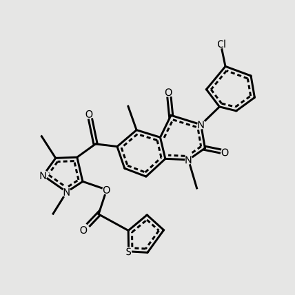 Cc1nn(C)c(OC(=O)c2cccs2)c1C(=O)c1ccc2c(c1C)c(=O)n(-c1cccc(Cl)c1)c(=O)n2C